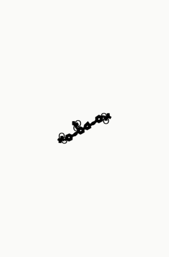 C=CC(=O)Oc1cc(-c2ccc(C#Cc3ccc(OC(=O)C(=C)C)cc3)cc2)ccc1C#Cc1ccc(OC(=O)C(=C)C)cc1